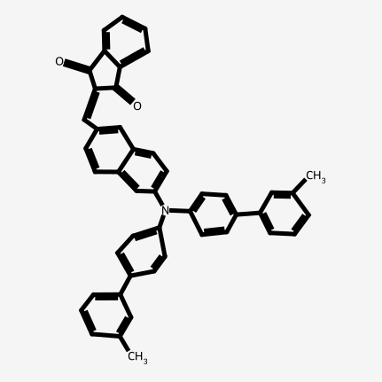 Cc1cccc(-c2ccc(N(c3ccc(-c4cccc(C)c4)cc3)c3ccc4cc(C=C5C(=O)c6ccccc6C5=O)ccc4c3)cc2)c1